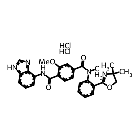 COc1cc(C(=O)N(C)c2ccccc2C2=NC(C)(C)CO2)ccc1C(=O)Nc1cccc2[nH]cnc12.Cl.Cl